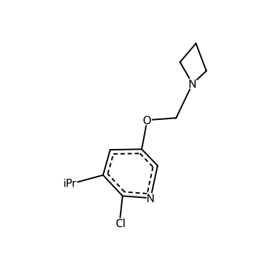 CC(C)c1cc(OCN2CCC2)cnc1Cl